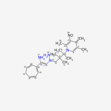 C=C1C(C)=CN(C(C)(C)C(C)(C)CN(N)/C=C(\N)C2=CC=CCC=C2)C(C)=C1N=O